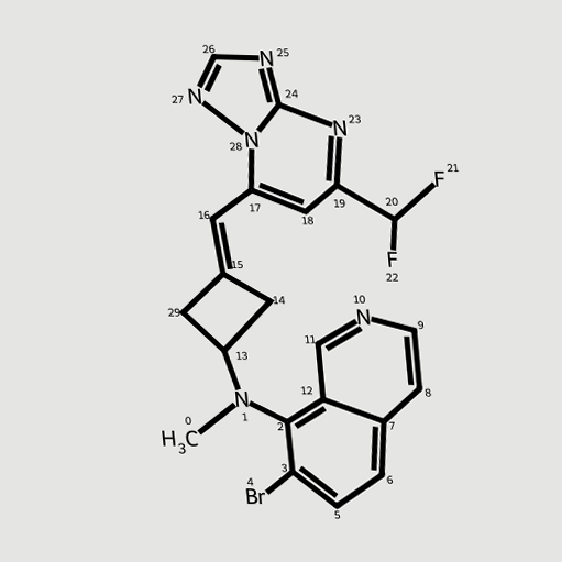 CN(c1c(Br)ccc2ccncc12)C1CC(=Cc2cc(C(F)F)nc3ncnn23)C1